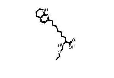 CCOCNC(CCCCCCCc1ccc2c(n1)NCCC2)C(=O)O